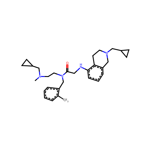 CN(CCN(Cc1ccccc1C(F)(F)F)C(=O)CNc1cccc2c1CCN(CC1CC1)C2)CC1CC1